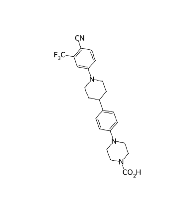 N#Cc1ccc(N2CCC(c3ccc(N4CCN(C(=O)O)CC4)cc3)CC2)cc1C(F)(F)F